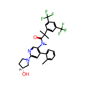 Cc1ccccc1-c1cc(N2CC[C@@H](O)C2)ncc1N(C)C(=O)C(C)(C)c1cc(C(F)(F)F)cc(C(F)(F)F)c1